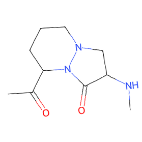 CNC1CN2CCCC(C(C)=O)N2C1=O